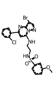 COc1cccc(S(=O)(=O)NCCNc2cc(-c3ccccc3Cl)nc3c(Br)cnn23)c1